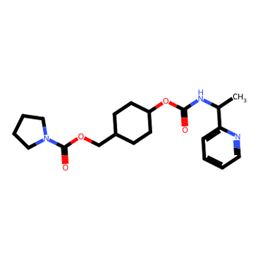 CC(NC(=O)OC1CCC(COC(=O)N2CCCC2)CC1)c1ccccn1